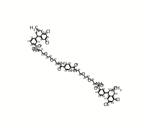 CN1Cc2c(Cl)cc(Cl)cc2C(c2cccc(S(=O)(=O)NCCOCCOCCNC(=O)c3ccc(C(=O)NCCOCCOCCNS(=O)(=O)c4cccc(C5CN(C)Cc6c(Cl)cc(Cl)cc65)c4)cc3)c2)C1